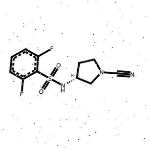 N#CN1CC[C@@H](NS(=O)(=O)c2c(F)cccc2F)C1